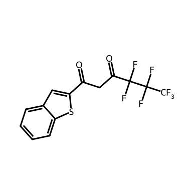 O=C(CC(=O)C(F)(F)C(F)(F)C(F)(F)F)c1cc2ccccc2s1